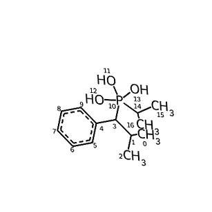 CC(C)C(c1ccccc1)P(O)(O)(O)C(C)C